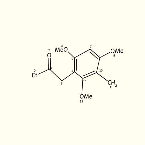 CCC(=O)Cc1c(OC)cc(OC)c(C)c1OC